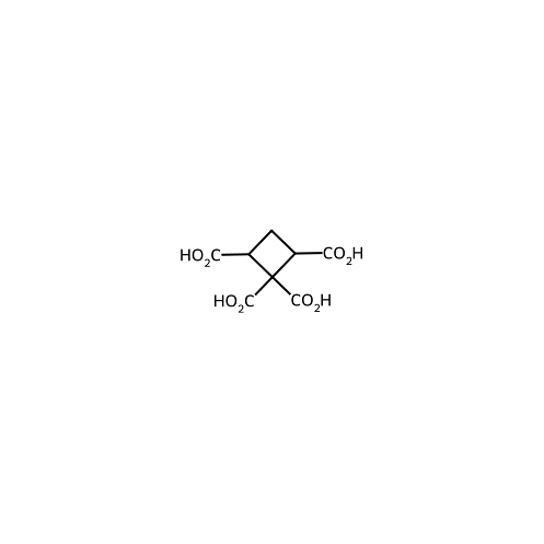 O=C(O)C1CC(C(=O)O)C1(C(=O)O)C(=O)O